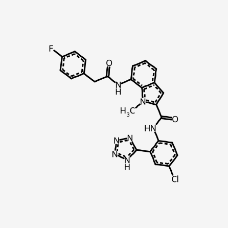 Cn1c(C(=O)Nc2ccc(Cl)cc2-c2nnn[nH]2)cc2cccc(NC(=O)Cc3ccc(F)cc3)c21